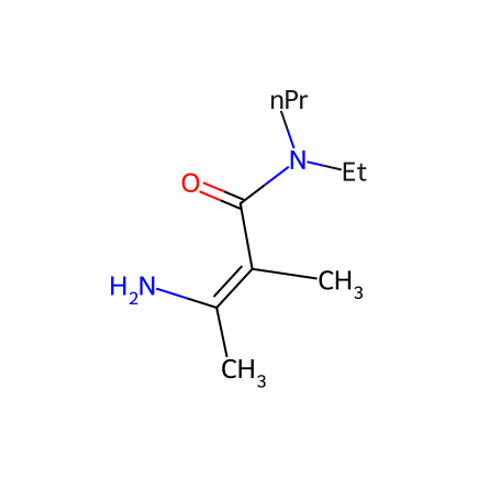 CCCN(CC)C(=O)/C(C)=C(/C)N